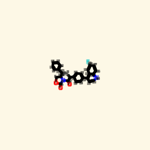 CCCC(C(=O)N1C(=O)OCC1Cc1ccccc1)c1ccc(-c2ccnc3ccc(F)cc23)cc1